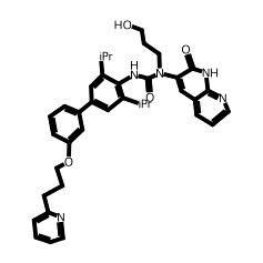 CC(C)c1cc(-c2cccc(OCCCc3ccccn3)c2)cc(C(C)C)c1NC(=O)N(CCCO)c1cc2cccnc2[nH]c1=O